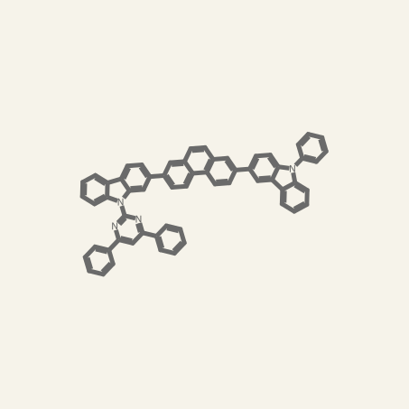 c1ccc(-c2cc(-c3ccccc3)nc(-n3c4ccccc4c4ccc(-c5ccc6c(ccc7cc(-c8ccc9c(c8)c8ccccc8n9-c8ccccc8)ccc76)c5)cc43)n2)cc1